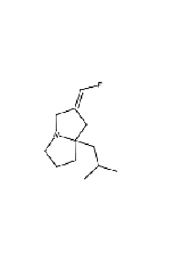 CC(C)CC12CCCN1CC(=CF)C2